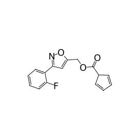 O=C(OCc1cc(-c2ccccc2F)no1)C1C=CC=C1